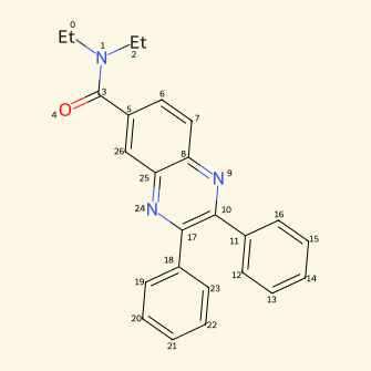 CCN(CC)C(=O)c1ccc2nc(-c3ccccc3)c(-c3ccccc3)nc2c1